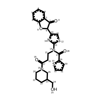 O=C1c2ccccc2OC1c1csc(N(CCC(=O)N2CCCC(CO)C2)C(=O)c2cccs2)n1